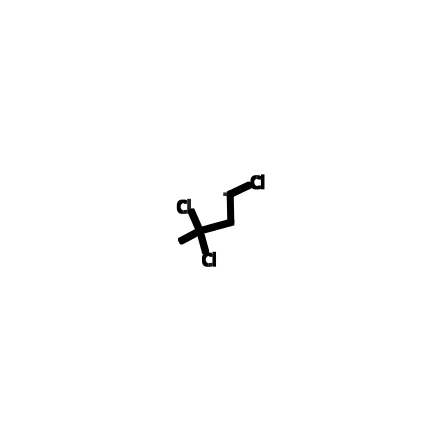 CC(Cl)(Cl)C[CH]Cl